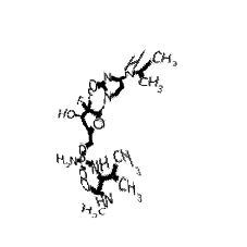 CNC(=O)C(NP(N)(=O)OCC1O[C@@H](n2ccc(NC(C)C)nc2=O)C(F)(F)[C@@H]1O)C(C)C